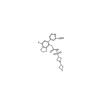 COc1cc(-c2cc(F)c3c(c2CC(=O)NS(=O)(=O)C2CN(C4CSC4)C2)CCC3)ccn1